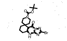 CC(C)(C)OC(=O)N1CCC2(CCCc3[nH]c4nc(Br)nn4c(=O)c32)CC1